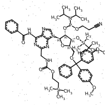 COc1ccc(C(OC[C@H]2O[C@@H](n3cnc4c(NC(=O)c5ccccc5)nc(CNC(=O)OCC[Si](C)(C)C)nc43)[C@H](OP(OCCC#N)N(C(C)C)C(C)C)[C@@H]2O[Si](C)(C)C(C)(C)C)(c2ccccc2)c2ccc(OC)cc2)cc1